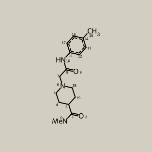 CNC(=O)C1CCN(CC(=O)Nc2ccc(C)cc2)CC1